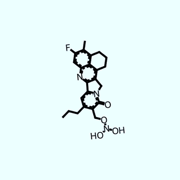 CCCc1cc2n(c(=O)c1CON(O)O)Cc1c-2nc2cc(F)c(C)c3c2c1CCC3